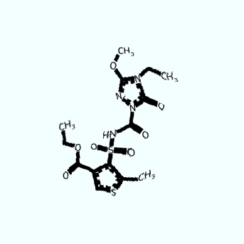 CCOC(=O)c1csc(C)c1S(=O)(=O)NC(=O)n1nc(OC)n(CC)c1=O